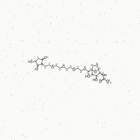 O=C1CC(S)C(=O)N1CCOCCOCCOCCOC[C@@]12COC(O1)[C@@H](NC(=O)C(F)(F)F)C(O)C2O